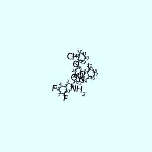 NC(Cc1cc(F)cc(F)c1)C(CNCc1cccc(I)c1)OC(=O)CCOc1ccccc1Cl